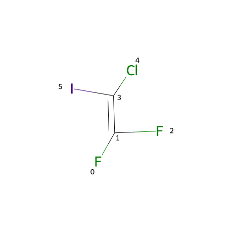 FC(F)=C(Cl)I